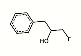 OC(CF)Cc1ccccc1